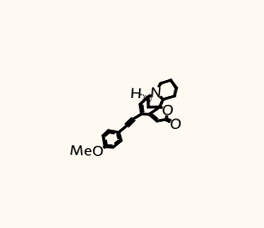 COc1ccc(C#CC2=C[C@@H]3CC4(OC(=O)C=C24)C2CCCCN23)cc1